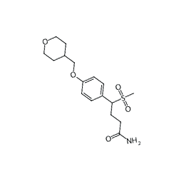 CS(=O)(=O)C(CCC(N)=O)c1ccc(OCC2CCOCC2)cc1